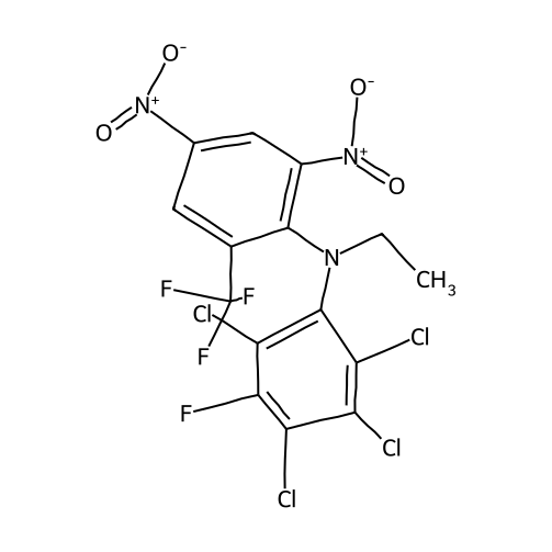 CCN(c1c([N+](=O)[O-])cc([N+](=O)[O-])cc1C(F)(F)F)c1c(Cl)c(F)c(Cl)c(Cl)c1Cl